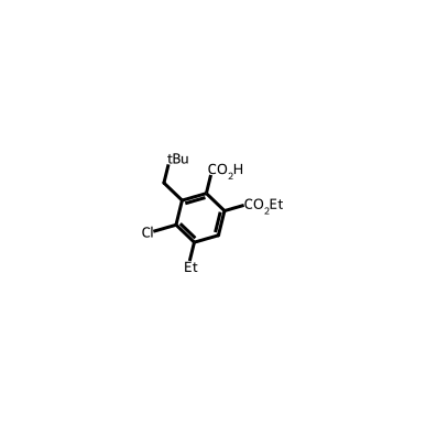 CCOC(=O)c1cc(CC)c(Cl)c(CC(C)(C)C)c1C(=O)O